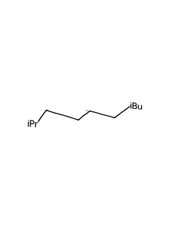 CCC(C)C[CH]CCC(C)C